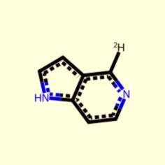 [2H]c1nccc2[nH]ccc12